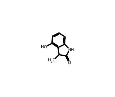 CC1C(=O)Nc2cccc(O)c21